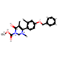 CC1=C(c2ccc(OCc3ccccc3)cc2C)N(C)CN(C(=O)OC(C)(C)C)C1=O